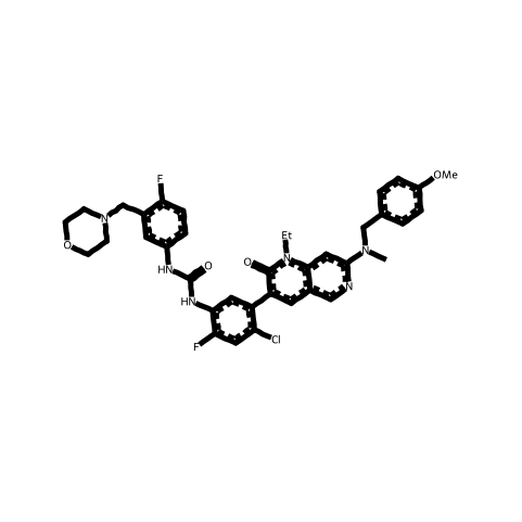 CCn1c(=O)c(-c2cc(NC(=O)Nc3ccc(F)c(CN4CCOCC4)c3)c(F)cc2Cl)cc2cnc(N(C)Cc3ccc(OC)cc3)cc21